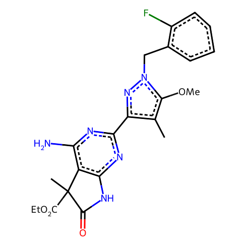 CCOC(=O)C1(C)C(=O)Nc2nc(-c3nn(Cc4ccccc4F)c(OC)c3C)nc(N)c21